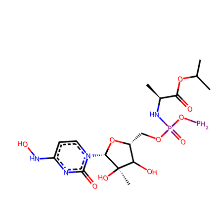 CC(C)OC(=O)[C@H](C)NP(=O)(OP)OC[C@H]1O[C@@H](n2ccc(NO)nc2=O)[C@](C)(O)C1O